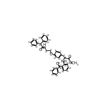 COC(=O)[C@H](Cc1ccc(OCCNC(=O)C(c2ccccc2)c2ccccc2)cc1)Nc1ccccc1C(=O)c1ccccc1